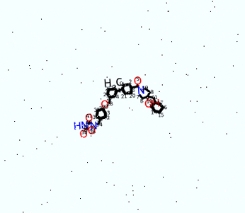 Cc1cc(C(=O)N2CCC(O)(Cc3ccccc3)CC2)ccc1-c1cccc(COc2ccc(Cn3oc(=O)[nH]c3=O)cc2)c1